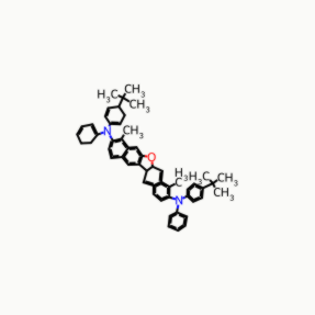 Cc1c(N(c2ccccc2)c2ccc(C(C)(C)C)cc2)ccc2c1=CC1Oc3cc4c(C)c(N(C5=CCC(C(C)(C)C)C=C5)C5=CC=CCC5)ccc4cc3C1C=2